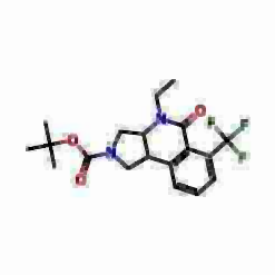 CCN1C(=O)c2c(cccc2C(F)(F)F)C2CN(C(=O)OC(C)(C)C)CC21